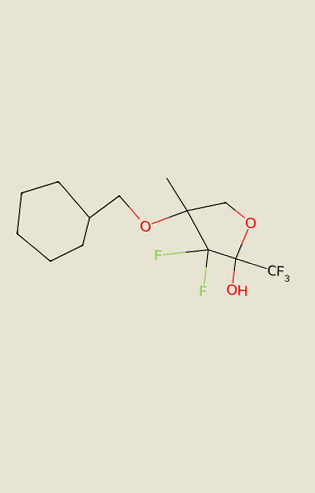 CC1(OCC2CCCCC2)COC(O)(C(F)(F)F)C1(F)F